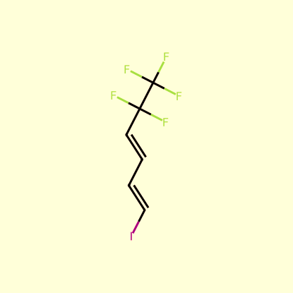 FC(F)(F)C(F)(F)C=CC=CI